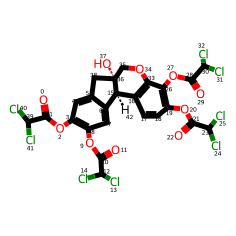 O=C(Oc1cc2c(cc1OC(=O)C(Cl)Cl)[C@@H]1c3ccc(OC(=O)C(Cl)Cl)c(OC(=O)C(Cl)Cl)c3OC[C@]1(O)C2)C(Cl)Cl